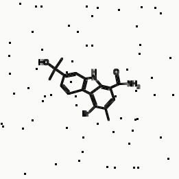 Cc1cc(C(N)=O)c2[nH]c3cc(C(C)(C)O)ccc3c2c1Br